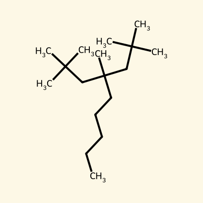 CCCCCC(C)(CC(C)(C)C)CC(C)(C)C